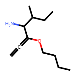 C=C=C(OCCCC)C(N)C(C)CC